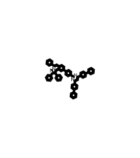 c1ccc(-c2ccc(-c3cc(-c4ccc(-c5ccccc5)cc4)nc(-c4ccc(-c5ccc6cc(-c7ccccc7)n7nc(-c8ccccc8)c(-c8ccccc8)c7c6c5)cc4)n3)cc2)cc1